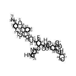 COc1cc(CN2CCN(C3CC4(CCN(c5cc(Oc6cnc7[nH]ccc7c6)c(C(=O)NS(=O)(=O)c6ccc(NCC7(F)CCOCC7)c([N+](=O)[O-])c6)cc5F)CC4)C3)[C@H](c3ccccc3C(C)C)C2)ccc1CN(C)C